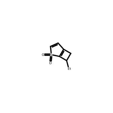 CCC1CC2=C1S(=O)(=O)C=C2